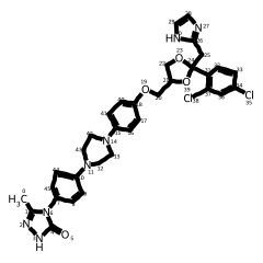 Cc1n[nH]c(=O)n1-c1ccc(N2CCN(c3ccc(OCC4COC(Cc5ncc[nH]5)(c5ccc(Cl)cc5Cl)O4)cc3)CC2)cc1